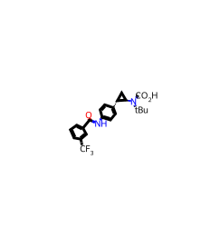 CC(C)(C)N(C(=O)O)[C@@H]1C[C@H]1c1ccc(NC(=O)c2cccc(C(F)(F)F)c2)cc1